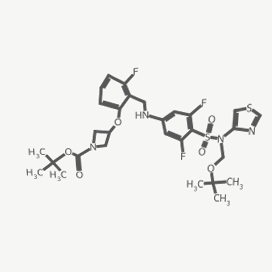 CC(C)(C)OCN(c1cscn1)S(=O)(=O)c1c(F)cc(NCc2c(F)cccc2OC2CN(C(=O)OC(C)(C)C)C2)cc1F